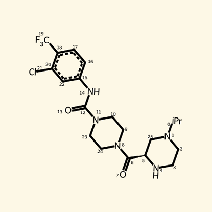 CC(C)N1CCN[C@@H](C(=O)N2CCN(C(=O)Nc3ccc(C(F)(F)F)c(Cl)c3)CC2)C1